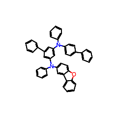 c1ccc(-c2ccc(N(c3ccccc3)c3cc(-c4ccccc4)cc(N(c4ccccc4)c4ccc5oc6ccccc6c5c4)c3)cc2)cc1